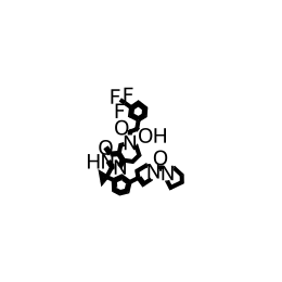 O=C(C(O)c1cccc(C(F)(F)F)c1)N1CCCc2nc(C3(c4cccc(C5=CCN(C(=O)N6CCCCC6)CC5)c4)CC3)[nH]c(=O)c2C1